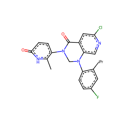 Cc1[nH]c(=O)ccc1N1CN(c2ccc(F)cc2C(C)C)c2cnc(Cl)cc2C1=O